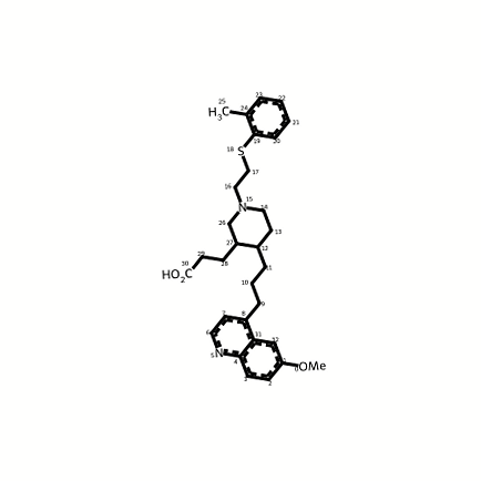 COc1ccc2nccc(CCCC3CCN(CCSc4ccccc4C)CC3CCC(=O)O)c2c1